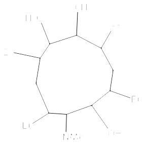 CCC1CC(CC)C(O)C(NC)C(CC)CC(CC)C(C)C1C